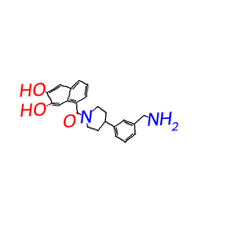 NCc1cccc(C2CCN(C(=O)c3cccc4cc(O)c(O)cc34)CC2)c1